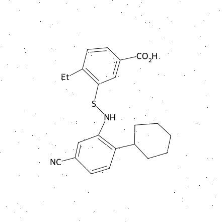 CCc1ccc(C(=O)O)cc1SNc1cc(C#N)ccc1C1CCCCC1